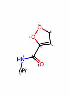 CCCNC(=O)C1=CCOO1